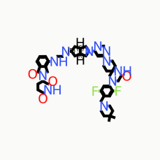 CN(CCNc1cccc2c1CN(C1CCC(=O)NC1=O)C2=O)[C@@H]1C[C@@H]2CN(c3cc(N4CCC5(CC4)CN(c4cc(F)c(CN6CCC(C)(C)CC6)cc4F)CC(=O)N5)ncn3)C[C@@H]2C1